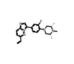 C=Cc1ccc2ncc(-c3ccc(N4C[C@@H](C)N(C)[C@@H](C)C4)c(F)c3)n2n1